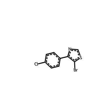 Clc1ccc(-c2ncsc2Br)cc1